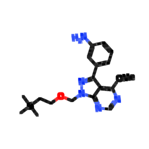 COc1ncnc2c1c(-c1cccc(N)c1)nn2COCC[Si](C)(C)C